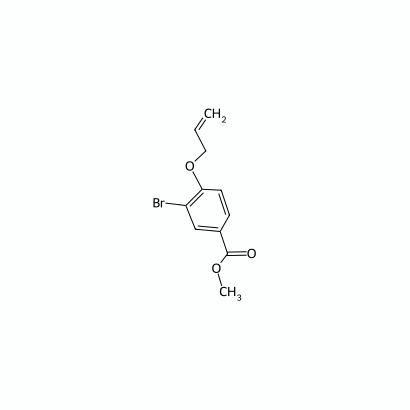 C=CCOc1ccc(C(=O)OC)cc1Br